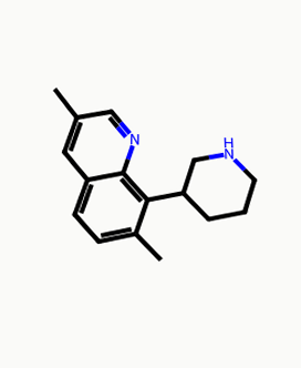 Cc1cnc2c(C3CCCNC3)c(C)ccc2c1